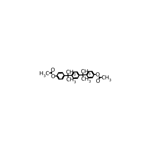 CC(=O)Oc1ccc(C(C)(C)c2ccc(C(C)(C)c3ccc(OC(C)=O)cc3)cc2)cc1